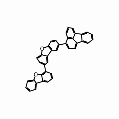 c1ccc2c(c1)-c1cccc3c(-c4ccc5oc6ccc(-c7cccc8c7oc7ccccc78)cc6c5c4)ccc-2c13